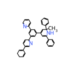 CC1(c2ccccc2)C=C(c2cc(-c3ccccn3)cc(-c3ccc(C4=CCCC=C4)cn3)c2)C=C(c2ccccc2)N1